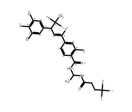 CC(NC(=O)CCC(F)(F)F)NC(=O)c1ccc(/C(F)=C/C(c2cc(Cl)c(Cl)c(Cl)c2)C(C)(F)F)cc1Br